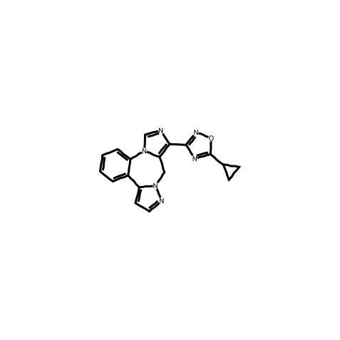 c1ccc2c(c1)-c1ccnn1Cc1c(-c3noc(C4CC4)n3)ncn1-2